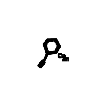 C#Cc1ccccc1.[Cu].[Zn]